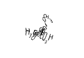 Cc1ccc(C#Cc2ccc(S(=O)(=O)N[C@@H](Cc3cn(C)c4ccccc34)C(=O)O)s2)cc1